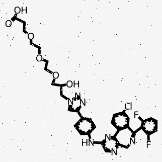 O=C(O)CCOCCOCCOCC(O)Cn1cc(-c2ccc(Nc3cnc4c(n3)-c3ccc(Cl)cc3C(c3c(F)cccc3F)=NC4)cc2)nn1